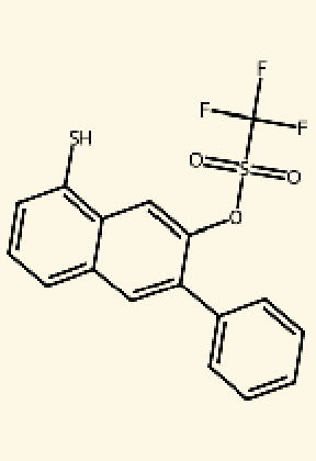 O=S(=O)(Oc1cc2c(S)cccc2cc1-c1ccccc1)C(F)(F)F